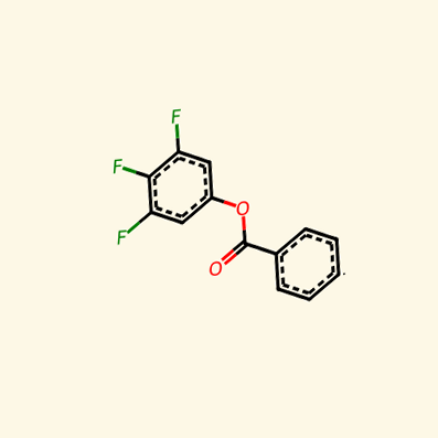 O=C(Oc1cc(F)c(F)c(F)c1)c1cc[c]cc1